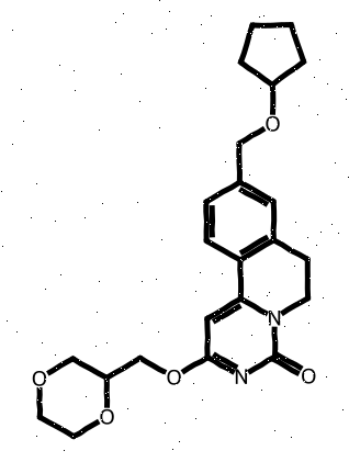 O=c1nc(OCC2COCCO2)cc2n1CCc1cc(COC3CCCC3)ccc1-2